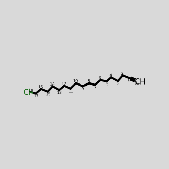 C#CCCCCCCCCCCCCCCCCCl